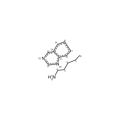 CCCCCN.c1ccc2ncncc2c1